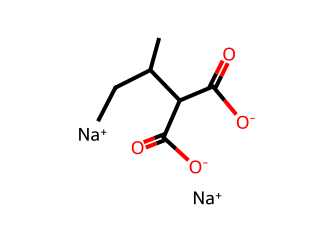 CCC(C)C(C(=O)[O-])C(=O)[O-].[Na+].[Na+]